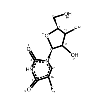 O=c1[nH]c(=O)n([C@H]2O[C@@H](CO)C(F)C2O)cc1F